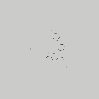 Cc1cc(OC(CC(C)I)c2ccc(C(=O)NCCC(=O)O)cc2)cc(I)c1C1=CCC(C(C)(C)C)C=C1